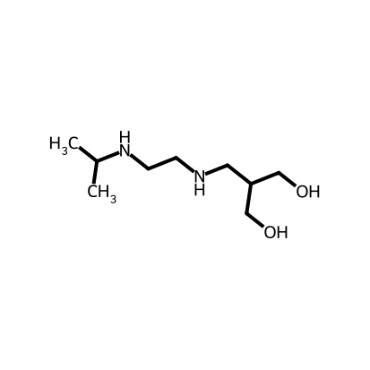 CC(C)NCCNCC(CO)CO